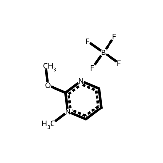 COc1nccc[n+]1C.F[B-](F)(F)F